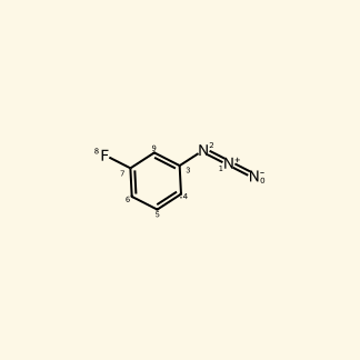 [N-]=[N+]=Nc1[c]ccc(F)c1